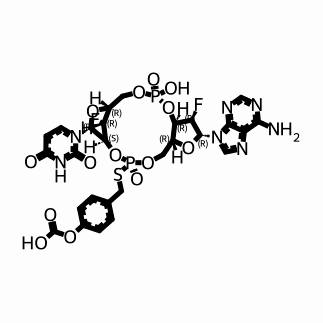 Nc1ncnc2c1ncn2[C@@H]1O[C@@H]2COP(=O)(SCc3ccc(OC(=O)O)cc3)O[C@@H]3[C@H](F)[C@@H](COP(=O)(O)O[C@H]2[C@H]1F)O[C@H]3n1ccc(=O)[nH]c1=O